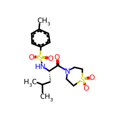 Cc1ccc(S(=O)(=O)N[C@@H](CC(C)C)C(=O)N2CCS(=O)(=O)CC2)cc1